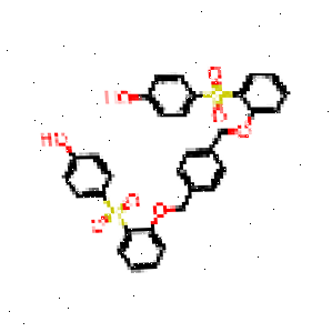 O=S(=O)(c1ccc(O)cc1)c1ccccc1OCc1ccc(COc2ccccc2S(=O)(=O)c2ccc(O)cc2)cc1